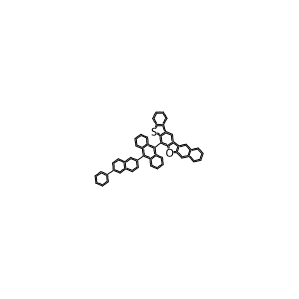 c1ccc(-c2ccc3cc(-c4c5ccccc5c(-c5c6oc7cc8ccccc8cc7c6cc6c5sc5ccccc56)c5ccccc45)ccc3c2)cc1